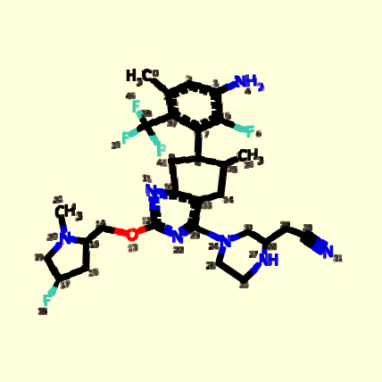 Cc1cc(N)c(F)c(C2Cc3nc(OCC4C[C@@H](F)CN4C)nc(N4CCNC(CC#N)C4)c3CC2C)c1C(F)(F)F